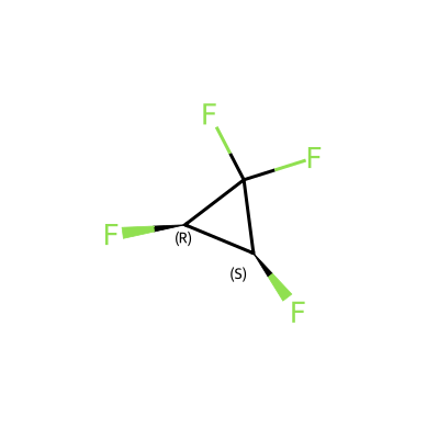 F[C@@H]1[C@H](F)C1(F)F